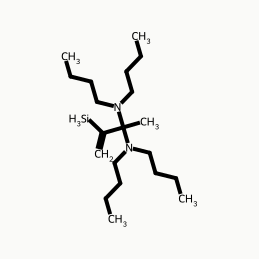 C=C([SiH3])C(C)(N(CCCC)CCCC)N(CCCC)CCCC